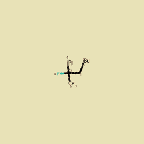 CCC(C)CC(F)(C(C)C)C(F)(F)F